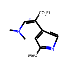 CCOC(=O)/C(=C/N(C)C)c1ccnc(OC)c1